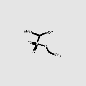 CCCCCCCCC(CCCCCC)S(=O)(=O)OCC(F)(F)F